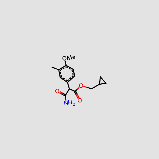 COc1ccc(C(C(N)=O)C(=O)OCC2CC2)cc1C